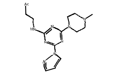 CC(=O)CCNc1nc(N2CCN(C)CC2)nc(-n2cccn2)n1